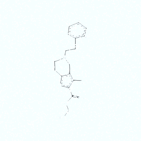 CCOC(=O)c1sc2c(c1O)CN(CCc1ccccc1)CC2